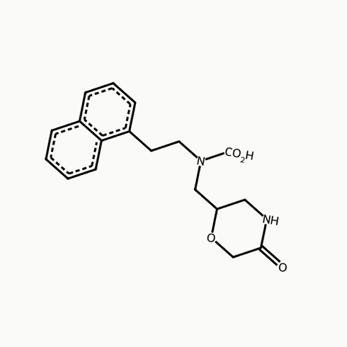 O=C1COC(CN(CCc2cccc3ccccc23)C(=O)O)CN1